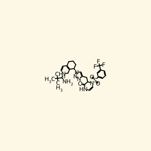 CC(C)(C)C(N)N1C=CC2=C(C1)C(n1cc(CC3C(=O)NC=CN3S(=O)(=O)c3cccc(C(F)(F)F)c3)nn1)CCC2